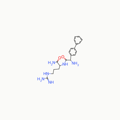 N=C(N)NCCCC(NC(=O)C(N)c1ccc(-c2ccccc2)cc1)C(N)=O